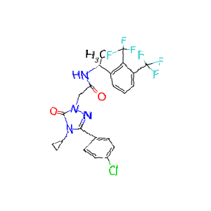 CC(NC(=O)Cn1nc(-c2ccc(Cl)cc2)n(C2CC2)c1=O)c1cccc(C(F)(F)F)c1C(F)(F)F